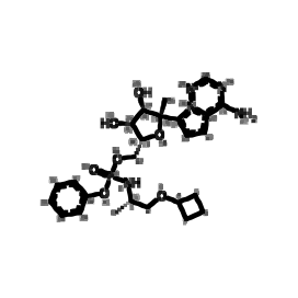 C[C@@H](COC1CCC1)NP(=O)(OC[C@H]1O[C@@](C)(c2ccc3c(N)ncnn23)[C@H](O)[C@@H]1O)Oc1ccccc1